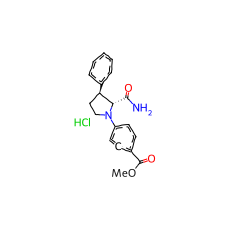 COC(=O)c1ccc(N2CC[C@@H](c3ccccc3)[C@@H]2C(N)=O)cc1.Cl